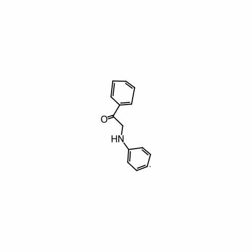 O=C(CNc1cc[c]cc1)c1ccccc1